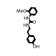 COc1ccccc1NC(=O)NCCc1ccc(O)cc1